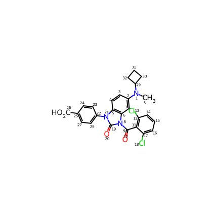 CN(c1ccc2c(c1)n(C(=O)c1c(Cl)cccc1Cl)c(=O)n2-c1ccc(C(=O)O)cc1)C1CCC1